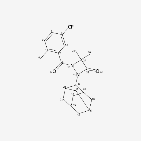 Cc1ccc(Cl)cc1C(=O)N1N(C2C3CC4CC(C3)CC2C4)C(=O)C1(C)C